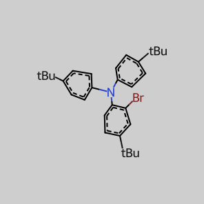 CC(C)(C)c1ccc(N(c2ccc(C(C)(C)C)cc2)c2ccc(C(C)(C)C)cc2Br)cc1